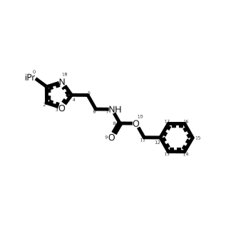 CC(C)c1coc(CCNC(=O)OCc2ccccc2)n1